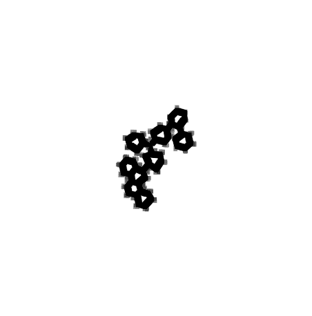 c1ccc(-c2ccccc2-c2ccc(N(c3ccccc3)c3cccc(-c4cc5c6ccccc6ccc5c5ccccc45)c3)cc2)cc1